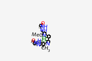 COc1cc(-c2nccc(-c3cccc(-c4ccc(CNC[C@@H]5CCC(=O)N5)c(OC)n4)c3Cl)c2Cl)cc(C)c1CNC[C@@H]1CCC(=O)N1